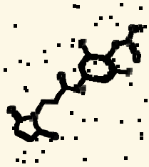 O=C(CCN1C(=O)C=CC1=O)Nc1cc(F)c(OS(=O)O)c(F)c1